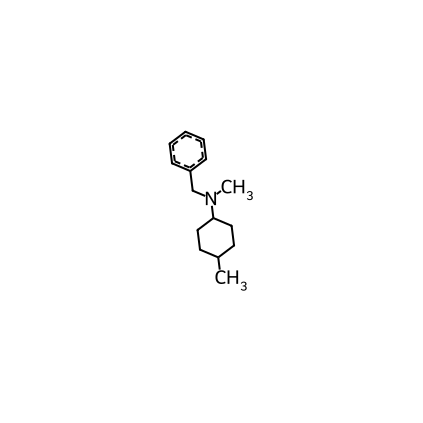 CC1CCC(N(C)Cc2ccccc2)CC1